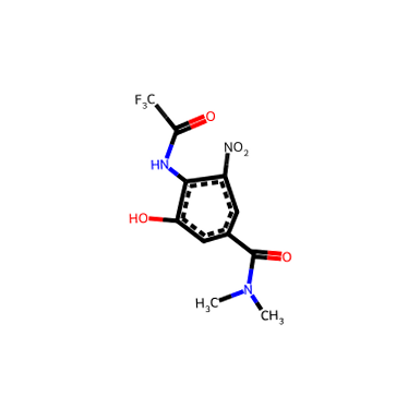 CN(C)C(=O)c1cc(O)c(NC(=O)C(F)(F)F)c([N+](=O)[O-])c1